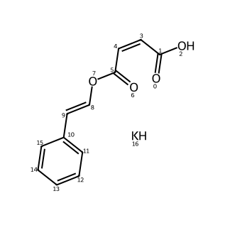 O=C(O)/C=C\C(=O)OC=Cc1ccccc1.[KH]